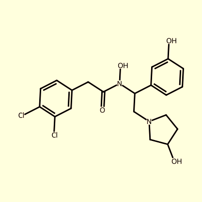 O=C(Cc1ccc(Cl)c(Cl)c1)N(O)C(CN1CCC(O)C1)c1cccc(O)c1